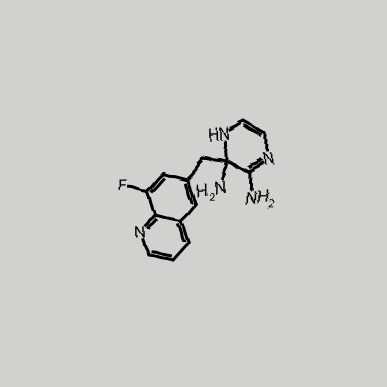 NC1=NC=CNC1(N)Cc1cc(F)c2ncccc2c1